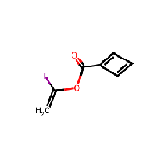 C=C(I)OC(=O)C1=CC=C1